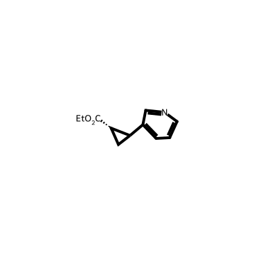 CCOC(=O)[C@H]1CC1c1cccnc1